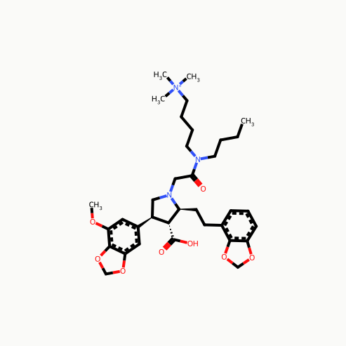 CCCCN(CCCC[N+](C)(C)C)C(=O)CN1C[C@H](c2cc(OC)c3c(c2)OCO3)[C@@H](C(=O)O)[C@@H]1CCc1cccc2c1OCO2